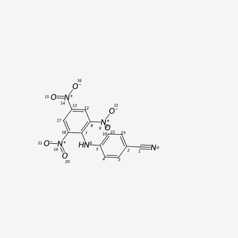 N#Cc1ccc(Nc2c([N+](=O)[O-])cc([N+](=O)[O-])cc2[N+](=O)[O-])cc1